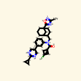 CC(C)c1noc(C23CCCC(C2)C(CN(C(=O)C24CC(F)(C2)C4)c2cccc(-c4cnc(C5CC5)nc4)c2)CC3)n1